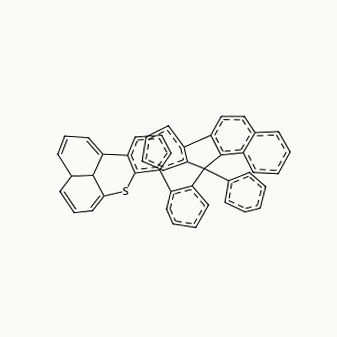 C1=CC2C=CC=C3c4cccc(-c5ccccc5C5(c6ccccc6)c6ccccc6-c6ccc7ccccc7c65)c4SC(=C1)C32